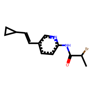 CC(Br)C(=O)Nc1ccc(/C=C/C2CC2)cn1